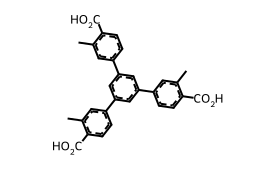 Cc1cc(-c2cc(-c3ccc(C(=O)O)c(C)c3)cc(-c3ccc(C(=O)O)c(C)c3)c2)ccc1C(=O)O